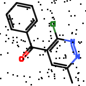 Cc1cc(C(=O)c2ccccc2)c(Cl)nn1